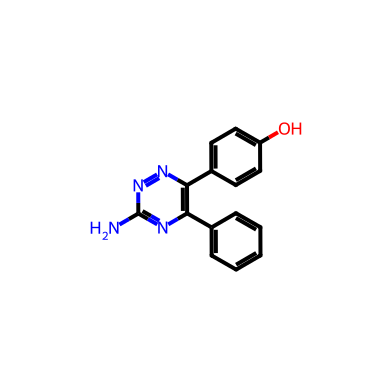 Nc1nnc(-c2ccc(O)cc2)c(-c2ccccc2)n1